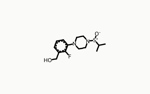 CC(C)[S+]([O-])N1CCN(c2cccc(CO)c2F)CC1